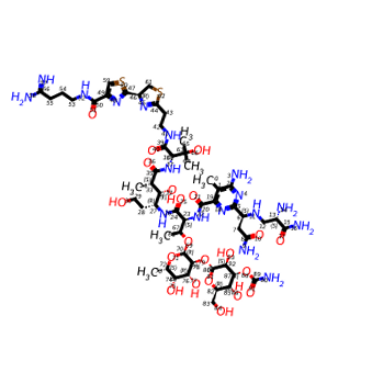 Cc1c(N)nc([C@H](CC(N)=O)NC[C@H](N)C(N)=O)nc1C(=O)N[C@H](C(=O)N[C@H](CCO)[C@@H](O)[C@H](C)C(=O)N[C@H](C(=O)NCCC1=N[C@@H](c2nc(C(=O)NCCCC(=N)N)cs2)CS1)C(C)(C)O)C(C)O[C@@H]1O[C@@H](C)[C@@H](O)[C@@H](O)[C@@H]1O[C@H]1O[C@H](CO)[C@@H](O)[C@@H](OC(N)=O)[C@@H]1O